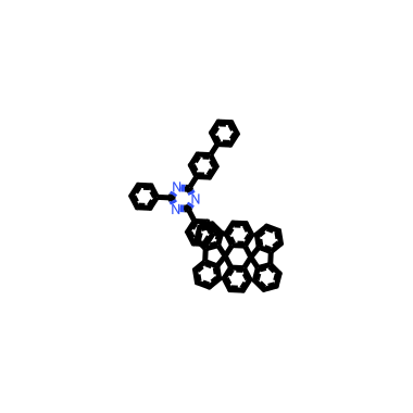 c1ccc(-c2ccc(-c3nc(-c4ccccc4)nc(-c4cccc(-c5cccc6c5C5(c7ccccc7-c7ccccc75)c5ccccc5C65c6ccccc6-c6ccccc65)c4)n3)cc2)cc1